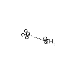 COC(=O)CCCCCCCCCCCOC(c1ccccc1)(c1ccccc1)c1ccccc1